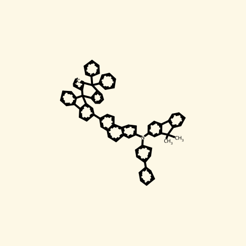 CC1(C)c2ccccc2-c2ccc(N(c3ccc(-c4ccccc4)cc3)c3ccc4c(ccc5cc(-c6ccc7c(c6)C6(c8ccccc8-7)c7ccccc7C(c7ccccc7)(c7ccccc7)c7ccccc76)ccc54)c3)cc21